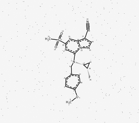 COc1ccc(CN(c2nc(S(C)(=O)=O)nc3c(C#N)cnn23)[C@@H]2C[C@@H]2F)cc1